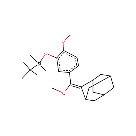 COC(=C1C2CC3CC(C2)CC1C3)c1ccc(OC)c(O[Si](C)(C)C(C)(C)C)c1